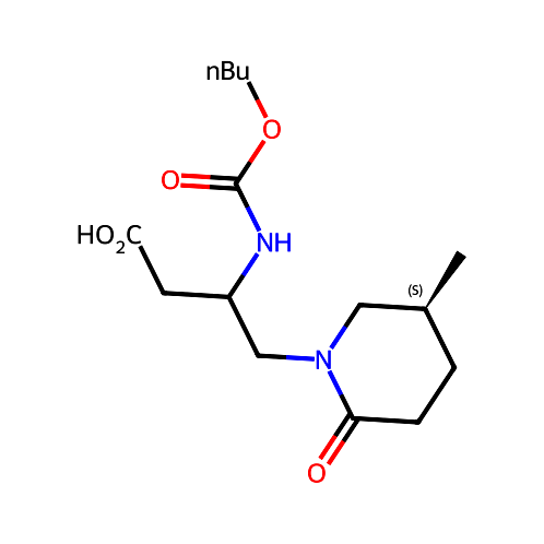 CCCCOC(=O)NC(CC(=O)O)CN1C[C@@H](C)CCC1=O